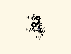 CCOC(=O)C(=N)/C(Br)=C(\Nc1ccccc1C(C)C)c1nc(-c2cccc(S(C)(=O)=O)c2)ns1